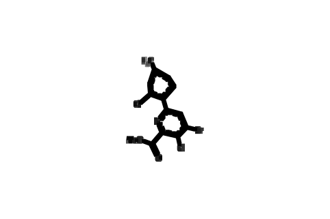 COC(=O)c1nc(-c2ccc(C(F)(F)F)cc2Cl)cc(Br)c1Cl